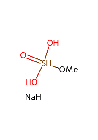 CO[SH](=O)(O)O.[NaH]